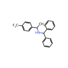 CC(NC(c1ccccc1)c1ccccc1)c1ccc(C(F)(F)F)cc1